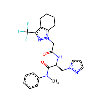 CN(C(=O)[C@H](Cn1cccn1)NC(=O)Cn1nc(C(F)(F)F)c2c1CCCC2)c1ccccc1